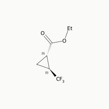 CCOC(=O)[C@H]1C[C@@H]1C(F)(F)F